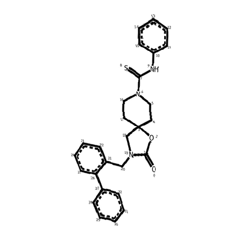 O=C1OC2(CCN(C(=S)Nc3ccccc3)CC2)CN1Cc1ccccc1-c1ccccc1